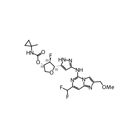 COCc1cn2c(Nc3cc([C@@H]4OC[C@H](OC(=O)NC5(C)CC5)[C@H]4F)[nH]n3)nc(C(F)F)cc2n1